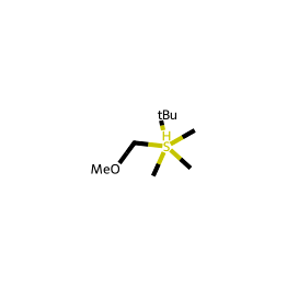 COC[SH](C)(C)(C)C(C)(C)C